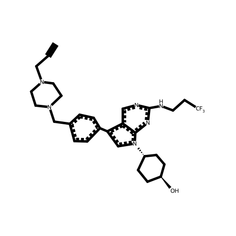 C#CCN1CCN(Cc2ccc(-c3cn([C@H]4CC[C@H](O)CC4)c4nc(NCCC(F)(F)F)ncc34)cc2)CC1